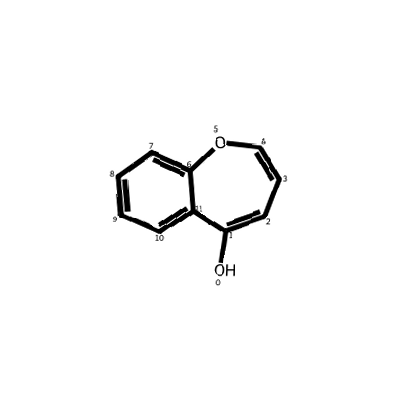 OC1=CC=COc2ccccc21